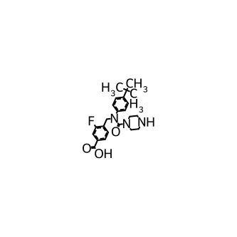 CC(C)(C)c1ccc(N(Cc2ccc(C(=O)O)cc2F)C(=O)N2CCNCC2)cc1